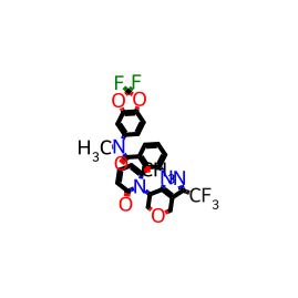 Cc1cccc(=O)n1C1COCc2c(C(F)(F)F)nn(-c3cccc(C(=O)N(C)c4ccc5c(c4)OC(F)(F)O5)c3)c21